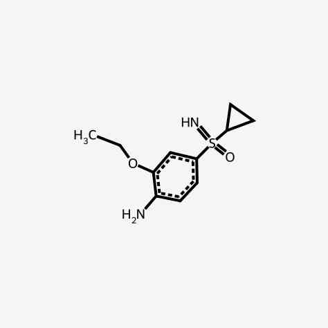 CCOc1cc(S(=N)(=O)C2CC2)ccc1N